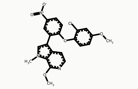 COc1ccc(Oc2ccc([N+](=O)[O-])cc2-c2cn(C)c3c(OC)nccc23)c(Cl)c1